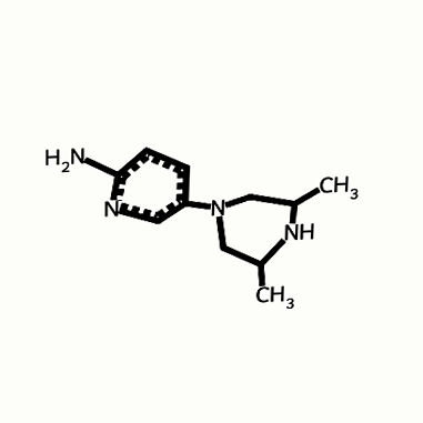 CC1CN(c2ccc(N)nc2)CC(C)N1